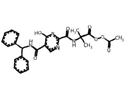 CC(=O)OOC(=O)C(C)(C)NC(=O)c1ncc(C(=O)NC(c2ccccc2)c2ccccc2)c(O)n1